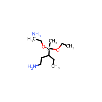 CCO[Si](C)(OCC)C(CC)CCN.N